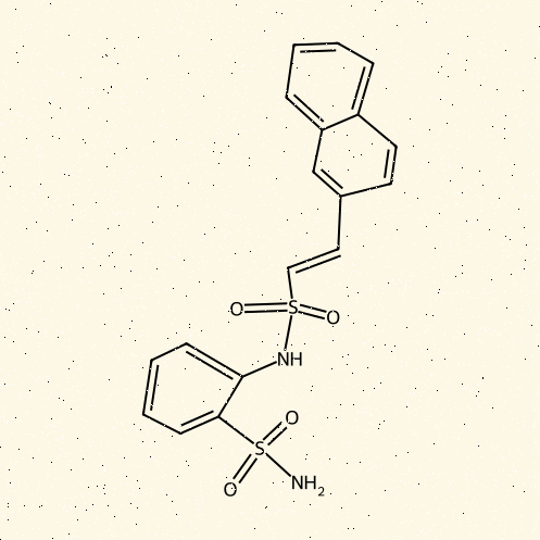 NS(=O)(=O)c1ccccc1NS(=O)(=O)C=Cc1ccc2ccccc2c1